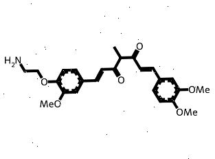 COc1ccc(/C=C/C(=O)C(C)C(=O)/C=C/c2ccc(OCCN)c(OC)c2)cc1OC